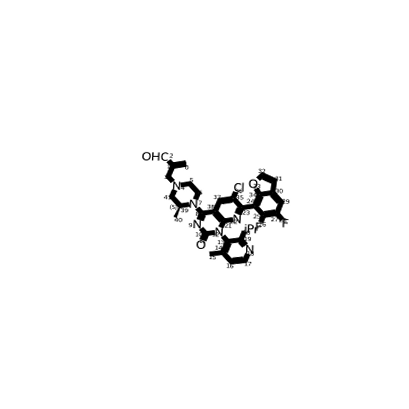 C=C(C=O)CN1CCN(c2nc(=O)n(-c3c(C)ccnc3C(C)C)c3nc(-c4c(F)c(F)cc5ccoc45)c(Cl)cc23)[C@@H](C)C1